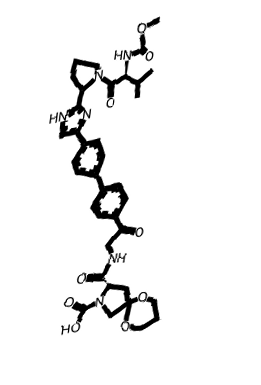 COC(=O)N[C@H](C(=O)N1CCCC1c1nc(-c2ccc(-c3ccc(C(=O)CNC(=O)[C@@H]4CC5(CN4C(=O)O)OCCCO5)cc3)cc2)c[nH]1)C(C)C